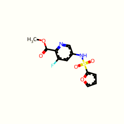 COC(=O)c1ncc(NS(=O)(=O)c2ccco2)cc1F